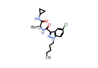 CC(C)(C)[C@H](NC(=O)c1nn(CCCCC#N)c2ccc(Cl)cc12)C(=O)NC1CC1